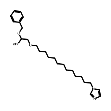 CCCC(COCCCCCCCCCCCCCn1ccnc1)OCc1ccccc1